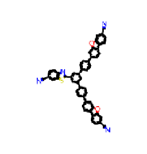 N#Cc1ccc2c(c1)oc1cc(-c3ccc(-c4cc(-c5ccc(-c6ccc7c(c6)oc6cc(C#N)ccc67)cc5)cc(-c5nc6ccc(C#N)cc6s5)c4)cc3)ccc12